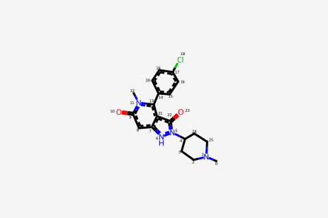 CN1CCC(n2[nH]c3cc(=O)n(C)c(-c4ccc(Cl)cc4)c3c2=O)CC1